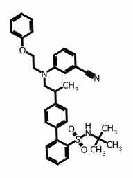 CC(CN(CCOc1ccccc1)c1cccc(C#N)c1)c1ccc(-c2ccccc2S(=O)(=O)NC(C)(C)C)cc1